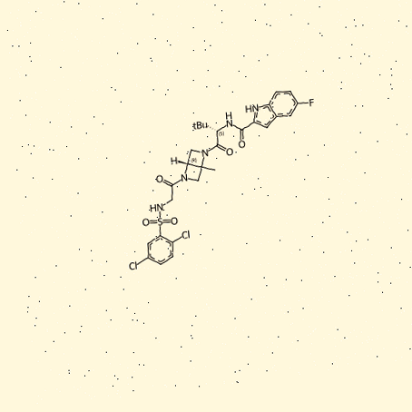 CC(C)(C)[C@H](NC(=O)c1cc2cc(F)ccc2[nH]1)C(=O)N1C[C@H]2N(C(=O)CNS(=O)(=O)c3cc(Cl)ccc3Cl)CC21C